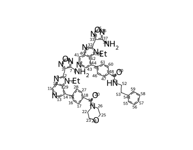 CCn1c(-c2nonc2N)nc2cncc(-c3ccc(C(=O)N4CCOCC4)cc3)c21.CCn1c(-c2nonc2N)nc2cncc(-c3ccc(C(=O)NCCc4ccccc4)cc3)c21